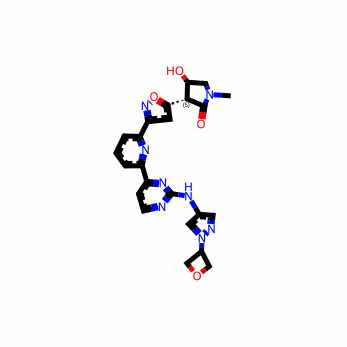 CN1CC(O)[C@@H](c2cc(-c3cccc(-c4ccnc(Nc5cnn(C6COC6)c5)n4)n3)no2)C1=O